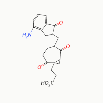 Nc1cccc2c1CC(CC1CCC(=O)C3(CCC(=O)O)CC3C1=O)C2=O